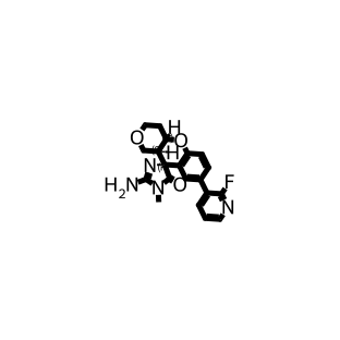 CN1C(=O)[C@]2(N=C1N)c1cc(-c3cccnc3F)ccc1O[C@H]1CCOC[C@@H]12